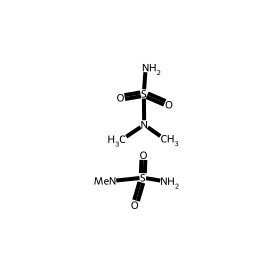 CN(C)S(N)(=O)=O.CNS(N)(=O)=O